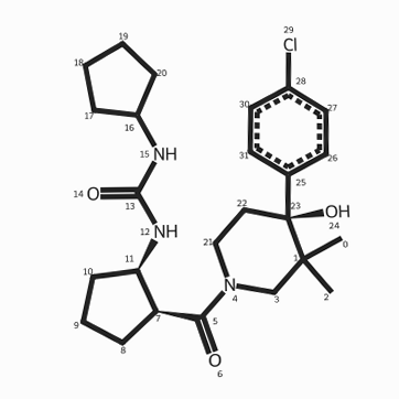 CC1(C)CN(C(=O)[C@H]2CCC[C@H]2NC(=O)NC2CCCC2)CC[C@]1(O)c1ccc(Cl)cc1